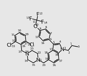 CCCn1cc(-c2ccc(OC(F)(F)F)cc2)c2cc(CN3CCN(Cc4c(Cl)cccc4Cl)CC3)ccc21